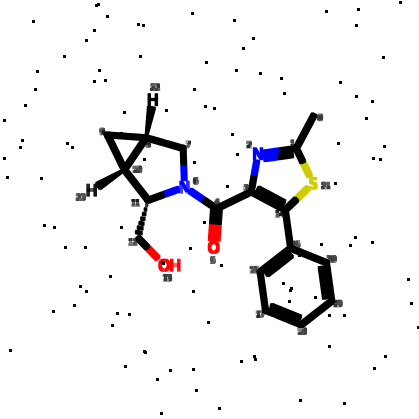 Cc1nc(C(=O)N2C[C@H]3C[C@H]3[C@H]2CO)c(-c2ccccc2)s1